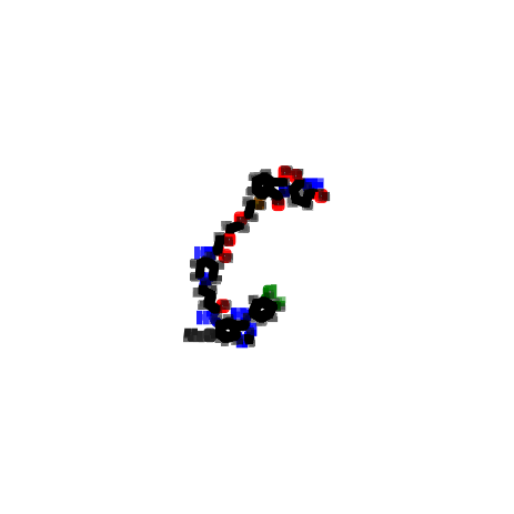 COc1cc2ncnc(Nc3ccc(F)c(Cl)c3)c2cc1NC(=O)/C=C/CN1CCC(NC(=O)COCCOCCSc2cccc3c2C(=O)N(C2CCC(=O)NC2=O)C3=O)CC1